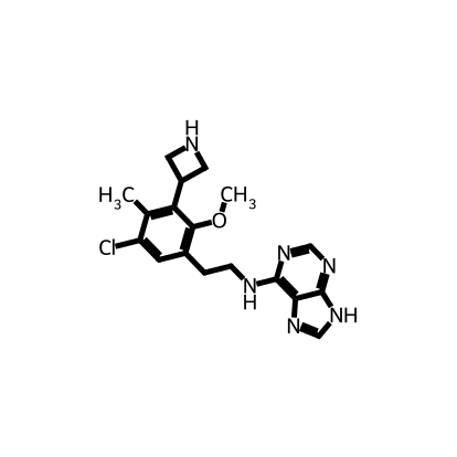 COc1c(CCNc2ncnc3[nH]cnc23)cc(Cl)c(C)c1C1CNC1